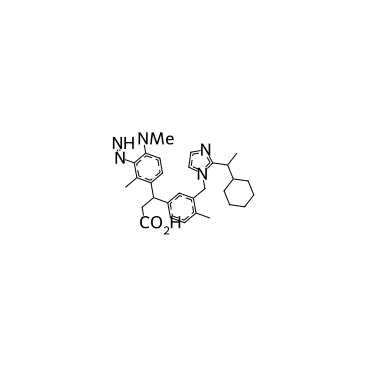 CNc1ccc(C(CC(=O)O)c2ccc(C)c(Cn3ccnc3C(C)C3CCCCC3)c2)c(C)c1N=N